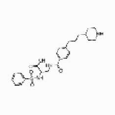 O=C(NCC(NS(=O)(=O)c1ccccc1)C(=O)O)c1ccc(CCCC2CCNCC2)cc1